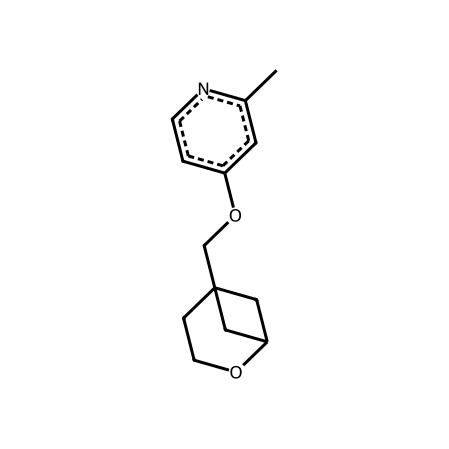 Cc1cc(OCC23CCOC(C2)C3)ccn1